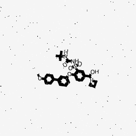 COc1ccc(-c2cccc(Oc3ccc(C(O)N4CCC4)cc3S(=O)(=O)NC(=O)NC(C)(C)C)c2)cc1